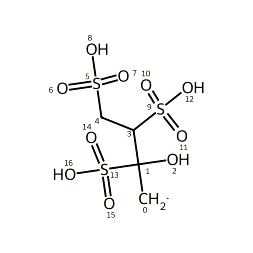 [CH2]C(O)(C(CS(=O)(=O)O)S(=O)(=O)O)S(=O)(=O)O